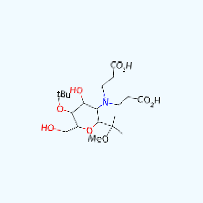 COC(C)(C)C1OC(CO)C(OC(C)(C)C)C(O)C1N(CCC(=O)O)CCC(=O)O